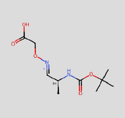 C[C@@H](/C=N/OCC(=O)O)NC(=O)OC(C)(C)C